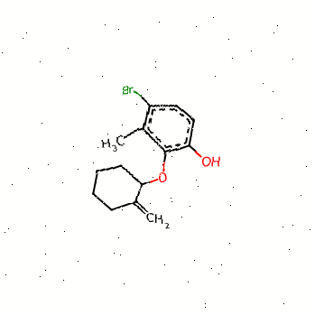 C=C1CCCCC1Oc1c(O)ccc(Br)c1C